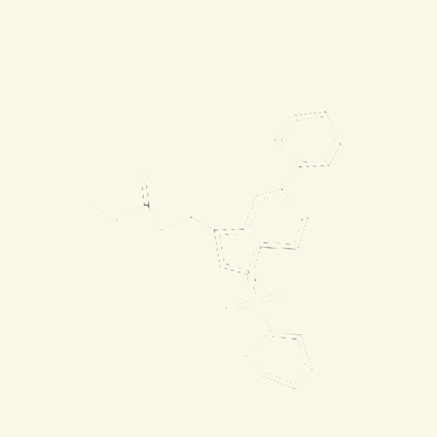 COC(=O)CCc1cn(S(=O)(=O)c2ccccc2)c2ccc(-c3ccccc3)cc12